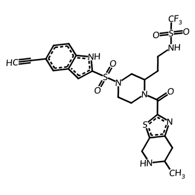 C#Cc1ccc2[nH]c(S(=O)(=O)N3CCN(C(=O)c4nc5c(s4)CNC(C)C5)C(CCNS(=O)(=O)C(F)(F)F)C3)cc2c1